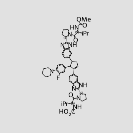 COC(=O)N[C@H](C(=O)N1CCC[C@H]1c1nc2ccc(C3CC=C(c4ccc5nc([C@@H]6CCCN6C(=O)[C@@H](NC(=O)O)C(C)C)[nH]c5c4)C3c3ccc(N4CCCCC4)c(F)c3)cc2[nH]1)C(C)C